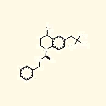 CC(C)(C)Cc1ccc2c(c1)C(N)CCN2C(=O)OCc1ccccc1